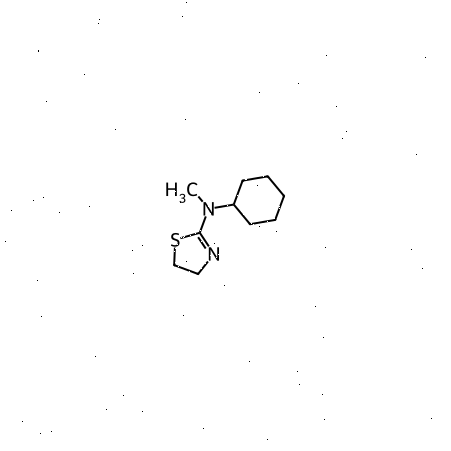 CN(C1=NCCS1)C1CCCCC1